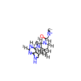 [2H]c1nc(N(C)[C@@]2([2H])C([2H])([2H])N(C(=O)C[N+]#[C-])C([2H])([2H])C[C@@]2([2H])C([2H])([2H])[2H])c2c([2H])c[nH]c2n1